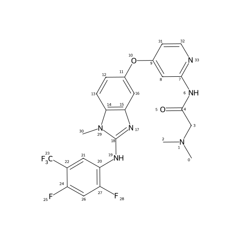 CN(C)CC(=O)Nc1cc(Oc2ccc3c(c2)nc(Nc2cc(C(F)(F)F)c(F)cc2F)n3C)ccn1